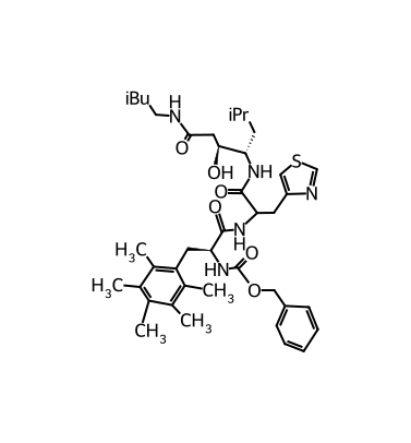 CCC(C)CNC(=O)C[C@H](O)[C@H](CC(C)C)NC(=O)C(Cc1cscn1)NC(=O)[C@H](Cc1c(C)c(C)c(C)c(C)c1C)NC(=O)OCc1ccccc1